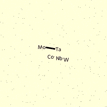 [Co].[Mo][Ta].[Nb].[W]